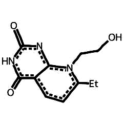 CCc1ccc2c(=O)[nH]c(=O)nc-2n1CCO